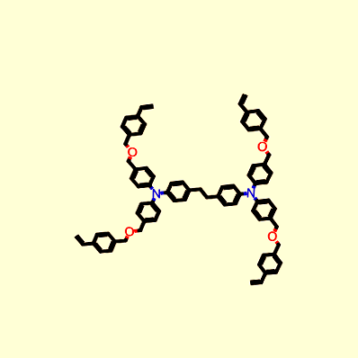 C=Cc1ccc(COCc2ccc(N(c3ccc(CCc4ccc(N(c5ccc(COCc6ccc(C=C)cc6)cc5)c5ccc(COCc6ccc(C=C)cc6)cc5)cc4)cc3)c3ccc(COCc4ccc(C=C)cc4)cc3)cc2)cc1